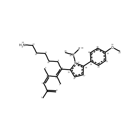 C=C(C)/C=C(C)\C(C)=C(/CCCCCN)c1ccc(-c2ccc(OC)cc2)n1B(C)F